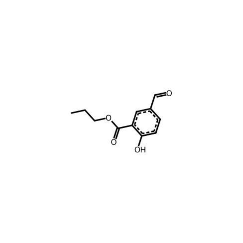 CCCOC(=O)c1cc(C=O)ccc1O